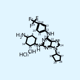 Cl.Cl.NC1CCC(Nc2nc(Nc3ccc(C(F)(F)F)cc3)c3ncn(C4CCCC4)c3n2)CC1